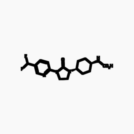 O=C(O)N[C@H]1CC[C@H](N2CCN(c3ccc(C(F)F)cn3)C2=O)CC1